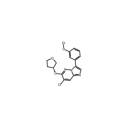 CCOc1cccc(-c2cnc3cc(Cl)c(O[C@H]4CCOC4)nn23)c1